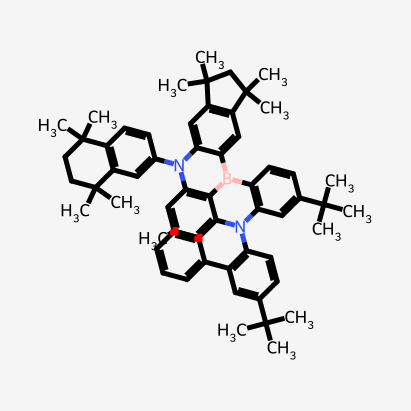 Cc1cc2c3c(c1)N(c1ccc(C(C)(C)C)cc1-c1ccccc1)c1cc(C(C)(C)C)ccc1B3c1cc3c(cc1N2c1ccc2c(c1)C(C)(C)CCC2(C)C)C(C)(C)CC3(C)C